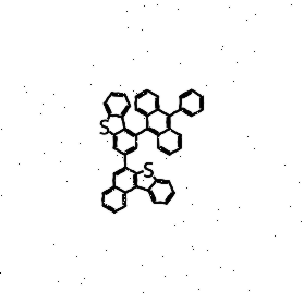 c1ccc(-c2c3ccccc3c(-c3cc(-c4cc5ccccc5c5c4sc4ccccc45)cc4sc5ccccc5c34)c3ccccc23)cc1